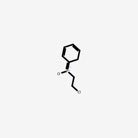 [O-]/[P+](CCCl)=C1\C=CC=CC1